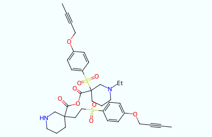 CC#CCOc1ccc(S(=O)(=O)CCC2(C(=O)OC(=O)C3(S(=O)(=O)c4ccc(OCC#CC)cc4)CCCN(CC)C3)CCCNC2)cc1